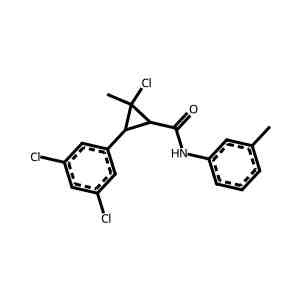 Cc1cccc(NC(=O)C2C(c3cc(Cl)cc(Cl)c3)C2(C)Cl)c1